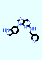 c1cncc(CNc2ncc3ncn(-c4ccc5cn[nH]c5c4)c3n2)c1